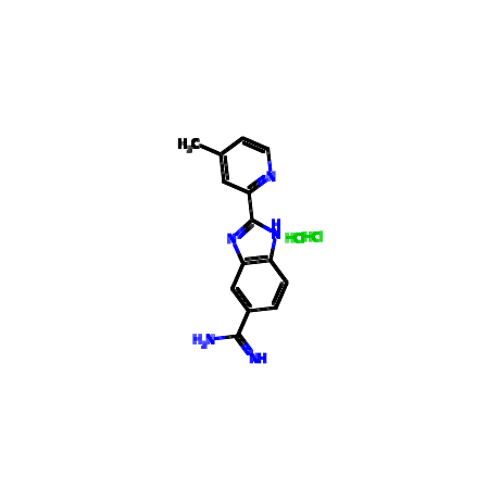 Cc1ccnc(-c2nc3cc(C(=N)N)ccc3[nH]2)c1.Cl.Cl